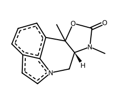 CN1C(=O)OC2(C)c3cccc4ccn(c34)C[C@@H]12